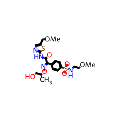 COCCNS(=O)(=O)c1ccc(/C(=N\O[C@H](C)CO)C(=O)Nc2ncc(COC)s2)cc1